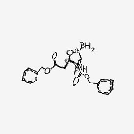 B[C@@H]1O[C@]2(CC(=O)OCc3ccccc3)C(C(=O)OCc3ccccc3)C1N[C@H]2C